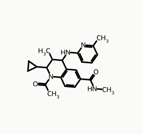 CNC(=O)c1ccc2c(c1)C(Nc1cccc(C)n1)C(C)C(C1CC1)N2C(C)=O